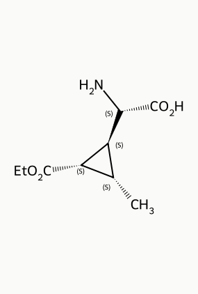 CCOC(=O)[C@H]1[C@@H](C)[C@@H]1[C@H](N)C(=O)O